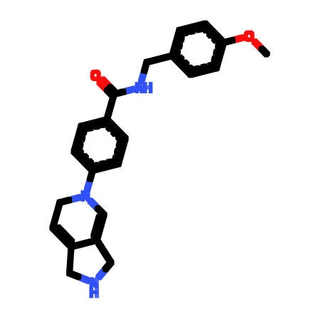 COc1ccc(CNC(=O)c2ccc(N3C=C4CNCC4=CC3)cc2)cc1